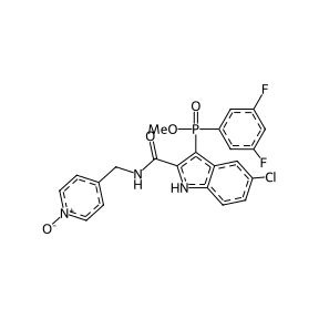 COP(=O)(c1cc(F)cc(F)c1)c1c(C(=O)NCc2cc[n+]([O-])cc2)[nH]c2ccc(Cl)cc12